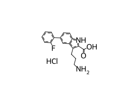 Cl.NCCCc1c(C(=O)O)[nH]c2ccc(-c3ccccc3F)cc12